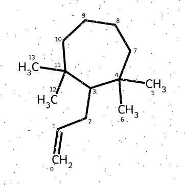 C=CCC1C(C)(C)CCCCC1(C)C